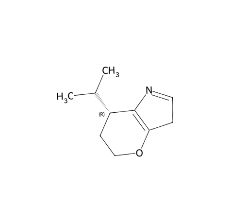 CC(C)[C@H]1CCOC2=C1N=CC2